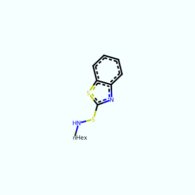 CCCCCCNSc1nc2ccccc2s1